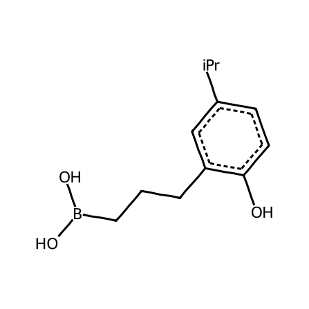 CC(C)c1ccc(O)c(CCCB(O)O)c1